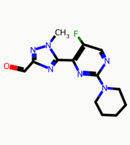 Cn1nc(C=O)nc1-c1nc(N2CCCCC2)ncc1F